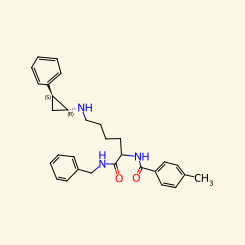 Cc1ccc(C(=O)NC(CCCCN[C@@H]2C[C@H]2c2ccccc2)C(=O)NCc2ccccc2)cc1